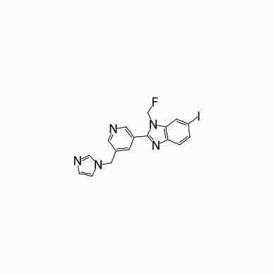 FCn1c(-c2cncc(Cn3ccnc3)c2)nc2ccc(I)cc21